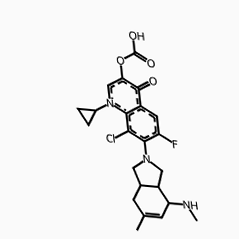 CNC1C=C(C)CC2CN(c3c(F)cc4c(=O)c(OC(=O)O)cn(C5CC5)c4c3Cl)CC21